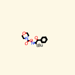 CC(C)(C)/C(=N/OC(=O)N1CCOCC1)C(=O)c1ccccc1